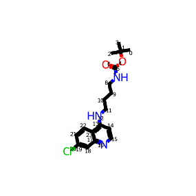 CC(C)(C)OC(=O)NCCCCNc1ccnc2cc(Cl)ccc12